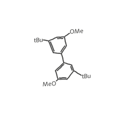 COc1cc(-c2cc(OC)cc(C(C)(C)C)c2)cc(C(C)(C)C)c1